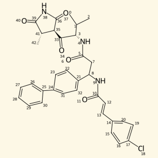 CC(C)[C@H](NC(=O)CC(NC(=O)/C=C/c1ccc(Cl)cc1)c1ccc(-c2ccccc2)cc1)C(=O)[C@@H]1C(=O)NC(=O)[C@H]1C